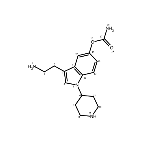 NCCc1cn(C2CCNCC2)c2ccc(OC(N)=O)cc12